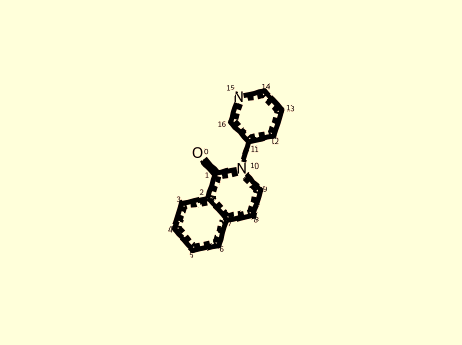 O=c1c2ccccc2ccn1-c1cccnc1